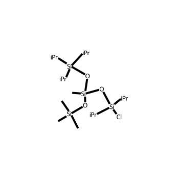 CC(C)[Si](Cl)(O[Si](C)(O[Si](C)(C)C)O[Si](C(C)C)(C(C)C)C(C)C)C(C)C